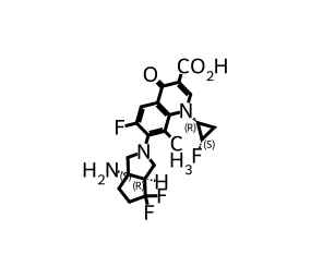 Cc1c(N2C[C@H]3C(F)(F)CC[C@@]3(N)C2)c(F)cc2c(=O)c(C(=O)O)cn([C@@H]3C[C@@H]3F)c12